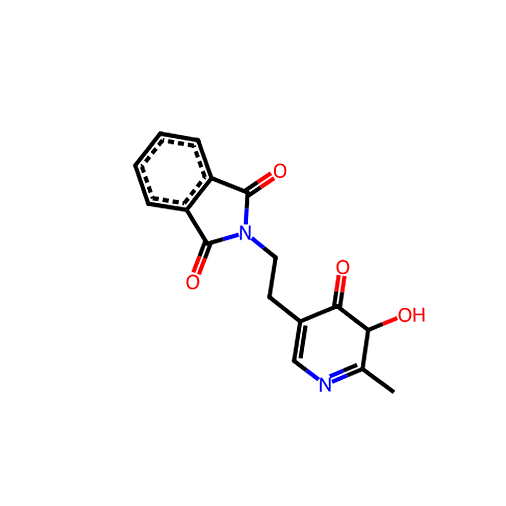 CC1=NC=C(CCN2C(=O)c3ccccc3C2=O)C(=O)C1O